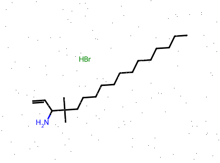 Br.C=CC(N)C(C)(C)CCCCCCCCCCCCC